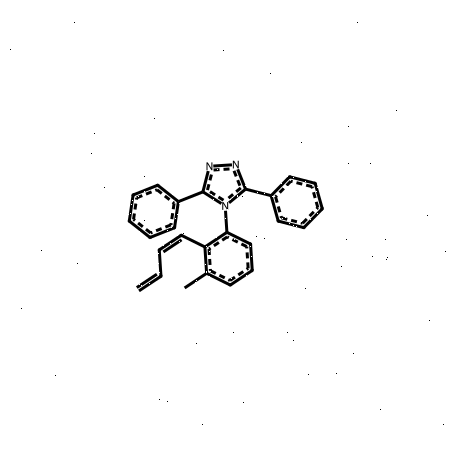 C=C/C=C\c1c(C)cccc1-n1c(-c2ccccc2)nnc1-c1ccccc1